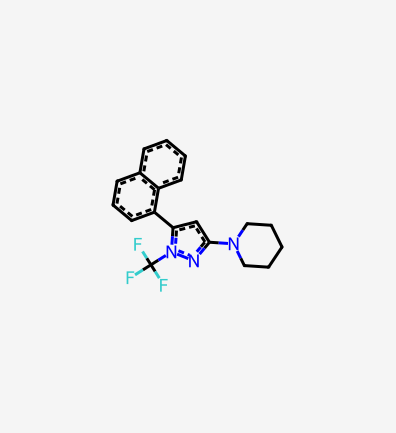 FC(F)(F)n1nc(N2CCCCC2)cc1-c1cccc2ccccc12